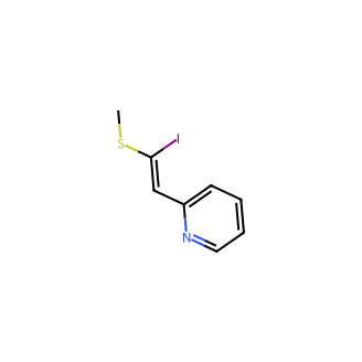 CSC(I)=Cc1ccccn1